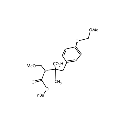 CCCCOC(=O)N(COC)C(C)(Cc1ccc(OCOC)cc1)C(=O)O